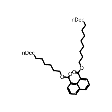 CCCCCCCCCCCCCCCCCCOC(=O)c1cccc2cccc(C(=O)OCCCCCCCCCCCCCCCC)c12